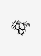 c1cc2c3c(c1)C[C@H]1CCC[C@H]1N3CCNC2